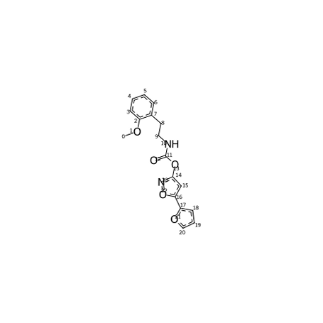 COc1ccccc1CCNC(=O)Oc1cc(-c2ccco2)on1